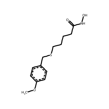 COc1ccc(CSCCCCC(=O)NO)cc1